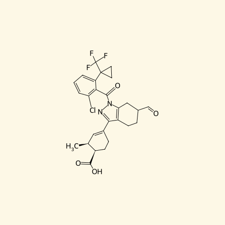 C[C@H]1C=C(c2nn(C(=O)c3c(Cl)cccc3C3(C(F)(F)F)CC3)c3c2CCC(C=O)C3)CC[C@H]1C(=O)O